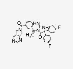 C[C@H](c1cccc(C(=O)N2Cc3cncnc3C2)c1)N1C(=N)NC(c2ccc(F)cc2)(c2ccc(F)cc2)C1=O